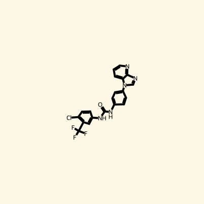 O=C(Nc1ccc(-n2cnc3ncccc32)cc1)Nc1ccc(Cl)c(C(F)(F)F)c1